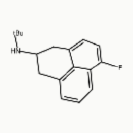 CC(C)(C)NC1Cc2cccc3c(F)ccc(c23)C1